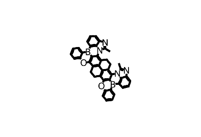 Cc1nc2cccc3c2n1-c1c2c4c(c5c1B3c1ccccc1O5)CCc1c3c5c(c(c1-4)CC2)-n1c(C)nc2cccc(c21)B5c1ccccc1O3